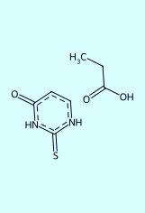 CCC(=O)O.O=c1cc[nH]c(=S)[nH]1